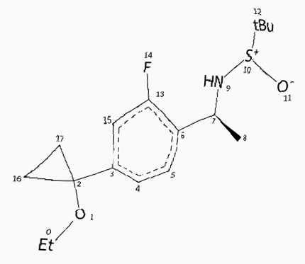 CCOC1(c2ccc([C@H](C)N[S+]([O-])C(C)(C)C)c(F)c2)CC1